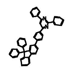 c1ccc(-c2cc(-c3ccc(-c4ccc5c(c4)C(c4ccccc4)(c4ccccc4)c4ccccc4-5)cc3)nc(-c3ccccc3)n2)cc1